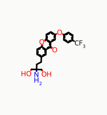 NC(CO)(CO)CCc1ccc2oc3ccc(Oc4ccc(C(F)(F)F)cc4)cc3c(=O)c2c1